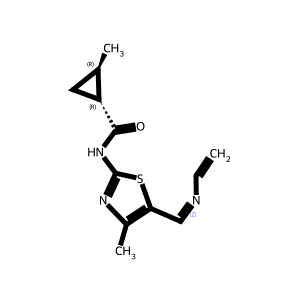 C=C/N=C\c1sc(NC(=O)[C@@H]2C[C@H]2C)nc1C